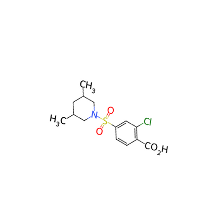 CC1CC(C)CN(S(=O)(=O)c2ccc(C(=O)O)c(Cl)c2)C1